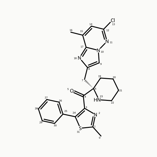 Cc1nc(C(=O)[C@@]2(Cc3cn4nc(Cl)cc(C)c4n3)CCCCN2)c(-c2ccccc2)s1